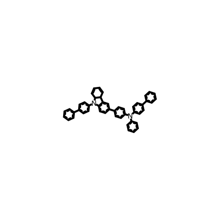 C1=CC2c3cc(-c4ccc(N(c5ccccc5)c5ccc(-c6ccccc6)cc5)cc4)ccc3N(c3ccc(-c4ccccc4)cc3)C2C=C1